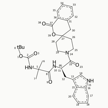 CC(C)(C)OC(=O)NC(C)(C)C(=O)N[C@H](Cc1c[nH]c2ccccc12)C(=O)N1CCC2(CC1)Cc1ccccc1C(=O)O2